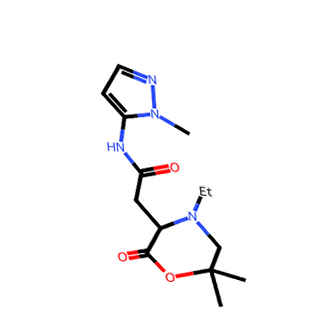 CCN1CC(C)(C)OC(=O)C1CC(=O)Nc1ccnn1C